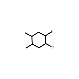 CC1CC(F)C(Cl)CC1C